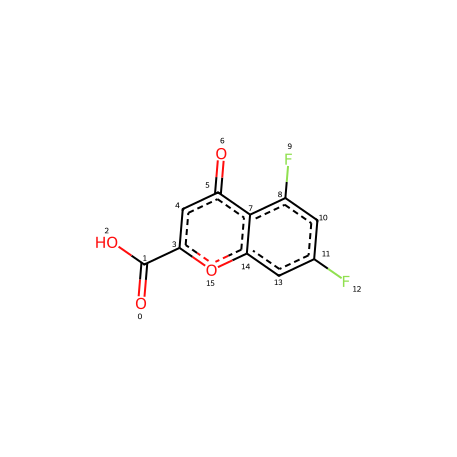 O=C(O)c1cc(=O)c2c(F)cc(F)cc2o1